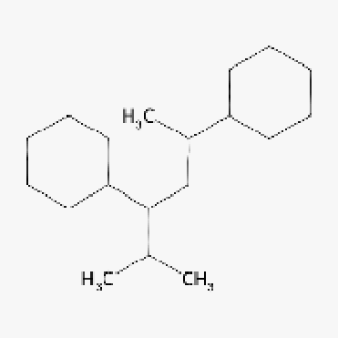 CC(C)C(CC(C)C1CCCCC1)C1CCCCC1